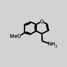 COc1ccc2c(c1)C(CN)C=CO2